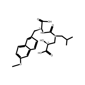 COc1ccc2cc(C[C@H](NC(=O)N(CC(C)C)C[C@H](O)C(=O)O)C(=O)O)ccc2c1